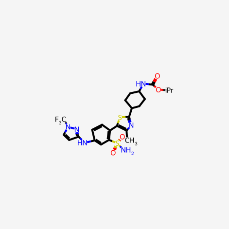 Cc1nc(C2CCC(NC(=O)OC(C)C)CC2)sc1-c1ccc(Nc2ccn(C(F)(F)F)n2)cc1S(N)(=O)=O